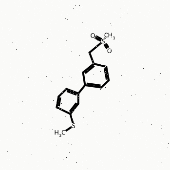 CSc1cccc(-c2cccc(CS(C)(=O)=O)c2)c1